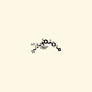 CN1C(N(COCC[Si](C)(C)C)C(=O)O)=NC(C)(c2cc(/C=C(\F)c3cnc(OCC4CCC4)cn3)ccc2F)CS1(O)O